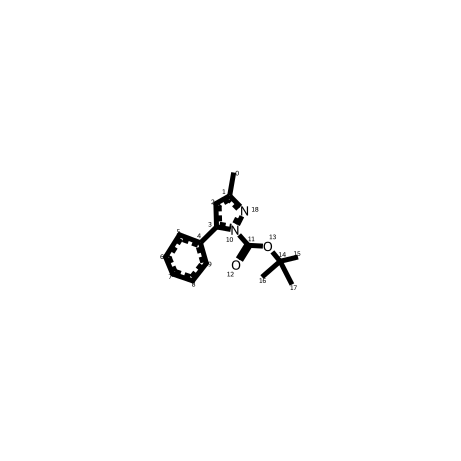 Cc1cc(-c2ccccc2)n(C(=O)OC(C)(C)C)n1